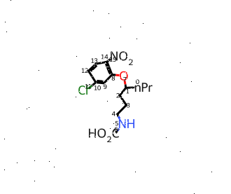 CCCC(CCCNC(=O)O)Oc1cc(Cl)ccc1[N+](=O)[O-]